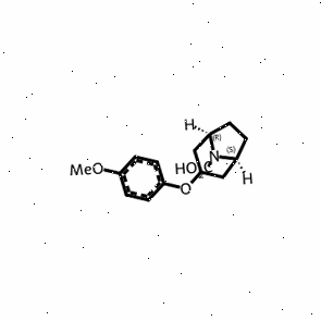 COc1ccc(OC2C[C@H]3CC[C@@H](C2)N3C(=O)O)cc1